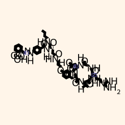 CCCCNC(=O)[C@H](CCC(=O)NCCCOc1ccc(C[C@H]2NC(=O)/C(=C\C(=O)O)NC(=O)CNC(=O)/C(=C/CCNC(=N)N)NC(=O)C(=C(C)C)NC2=O)cc1)NC(=O)c1ccc(N/N=C/c2ccccc2S(=O)(=O)O)cc1